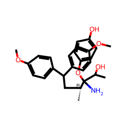 COc1ccc(C(C[C@@H](C)C(N)(Oc2ccc(O)cc2)C(C)O)c2ccc(OC)cc2)cc1